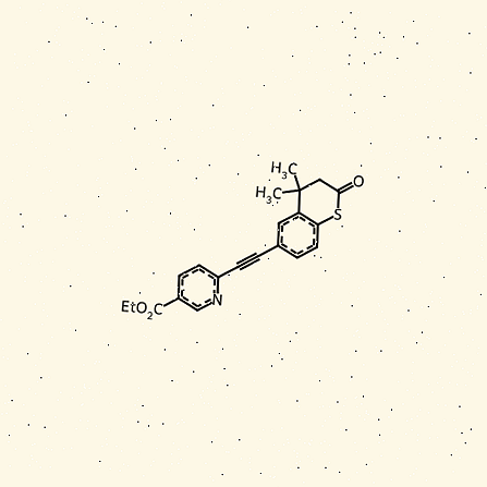 CCOC(=O)c1ccc(C#Cc2ccc3c(c2)C(C)(C)CC(=O)S3)nc1